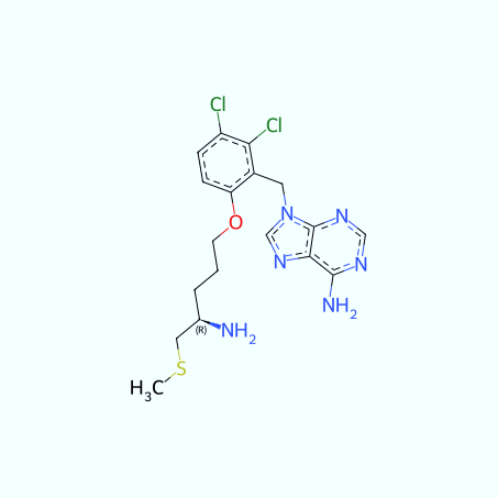 CSC[C@H](N)CCCOc1ccc(Cl)c(Cl)c1Cn1cnc2c(N)ncnc21